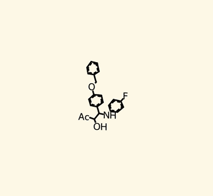 CC(=O)C(O)C(Nc1ccc(F)cc1)c1ccc(OCc2ccccc2)cc1